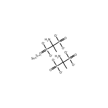 CC(N)(P(=O)([O-])[O-])P(=O)([O-])[O-].CC(N)(P(=O)([O-])[O-])P(=O)([O-])[O-].[Sn+4].[Tc+4]